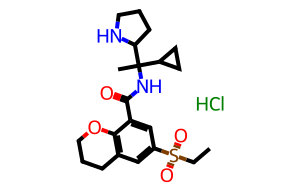 CCS(=O)(=O)c1cc2c(c(C(=O)NC(C)(C3CC3)C3CCCN3)c1)OCCC2.Cl